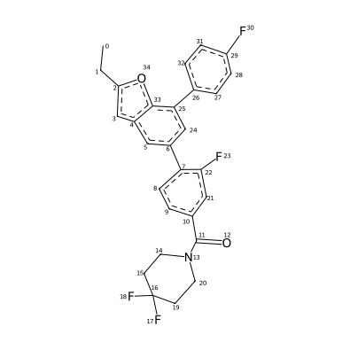 CCc1cc2cc(-c3ccc(C(=O)N4CCC(F)(F)CC4)cc3F)cc(-c3ccc(F)cc3)c2o1